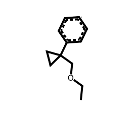 CCOCC1(c2cc[c]cc2)CC1